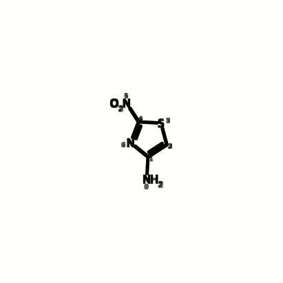 Nc1csc([N+](=O)[O-])n1